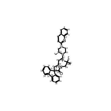 C[C@H]1CN(c2ccc3ccccc3n2)CCN1CCCCC1(C(=O)NCC(F)(F)F)c2ccccc2-c2ccccc21